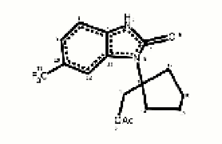 CC(=O)OCC1(n2c(=O)[nH]c3ccc(C(F)(F)F)cc32)CCCC1